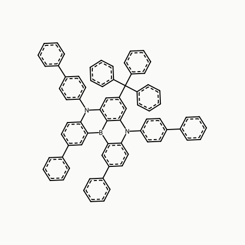 c1ccc(-c2ccc(N3c4ccc(-c5ccccc5)cc4B4c5cc(-c6ccccc6)ccc5N(c5ccc(-c6ccccc6)cc5)c5cc(C(c6ccccc6)(c6ccccc6)c6ccccc6)cc3c54)cc2)cc1